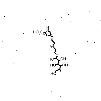 CC(CO)C(O)C(O)C(O)C(O)OCCNCCO[C@H]1CN[C@H](C(=O)O)C1